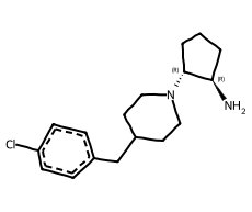 N[C@@H]1CCC[C@H]1N1CCC(Cc2ccc(Cl)cc2)CC1